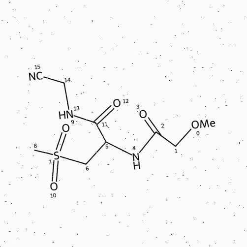 COCC(=O)NC(CS(C)(=O)=O)C(=O)NCC#N